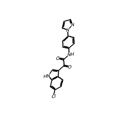 O=C(Nc1ccc(-n2cccn2)cc1)C(=O)c1c[nH]c2cc(Cl)ccc12